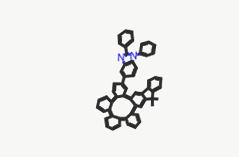 CC1(C)c2ccccc2-c2cc3c4cc(-c5ccc6c(c5)nc(-c5ccccc5)n6-c5ccccc5)ccc4c4ccccc4c4ccccc4c4ccccc4c3cc21